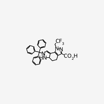 O=C(O)c1nn(CC(F)(F)F)c2c1CCC1NN(C(c3ccccc3)(c3ccccc3)c3ccccc3)C=C21